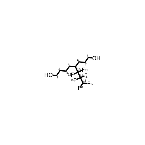 OCCCCC(CCCO)C(F)(F)C(F)(F)C(F)F